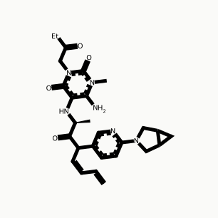 C=C/C=C\C(C(=O)[C@H](C)Nc1c(N)n(C)c(=O)n(CC(=O)CC)c1=O)c1ccc(N2CC3CC3C2)nc1